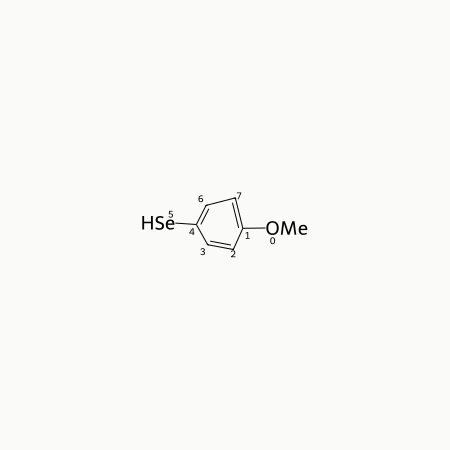 COc1ccc([SeH])cc1